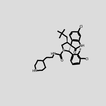 CC(C)(C)C[C@@H]1CN(C(=O)NCCC2CCNCC2)C(c2cccc(Cl)c2F)[C@]12C(=O)Nc1cc(Cl)ccc12